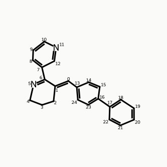 C(=C1CCCN=C1c1cccnc1)c1ccc(-c2ccccc2)cc1